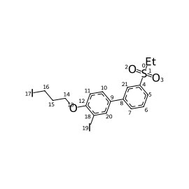 CCS(=O)(=O)c1cccc(-c2ccc(OCCCI)c(I)c2)c1